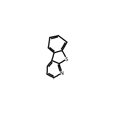 [c]1ccc2c(n1)sc1ccccc12